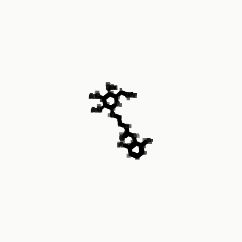 CC(=O)OC[C@H]1O[C@@H](OCCOC(=O)Oc2c(C(C)C)cccc2C(C)C)[C@H](OC(C)=O)[C@@H](OC(C)=O)[C@@H]1OC(C)=O